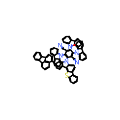 N#Cc1c(-n2c3ccccc3c3ccccc32)c(-n2c3ccccc3c3ccccc32)c(C#N)c(-n2c3cc(-c4ccc5c6c(cccc46)-c4ccccc4-5)ccc3c3c4sc5ccccc5c4ccc32)c1-n1c2ccccc2c2ccccc21